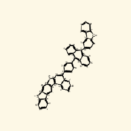 c1ccc2c(c1)oc1ccc(-c3c4ccccc4c(-c4ccc(-c5cc6sc7cc8sc9ccccc9c8cc7c6c6ccccc56)cc4)c4ccccc34)cc12